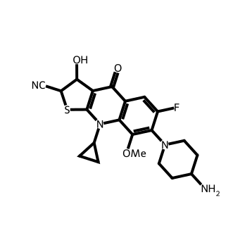 COc1c(N2CCC(N)CC2)c(F)cc2c(=O)c3c(n(C4CC4)c12)SC(C#N)C3O